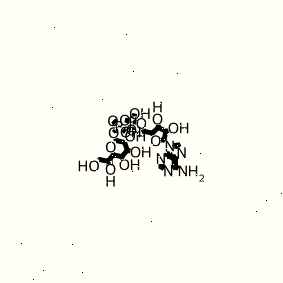 Nc1ncnc2c1ncn2C1OC(COP(=O)(O)OP(=O)(O)OC2OC([C@@H](O)CO)C(O)C(O)C2O)C(O)C1O